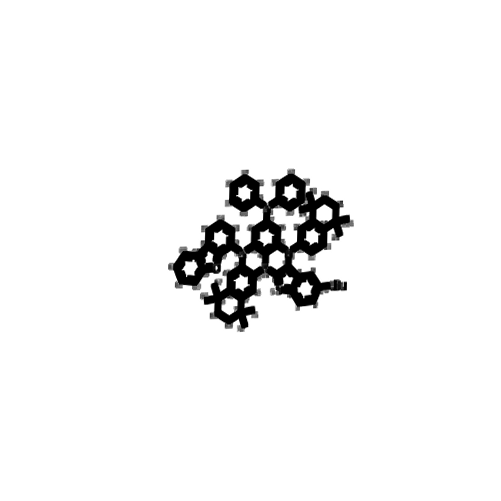 CC(C)(C)c1ccc2sc3c(c2c1)N(c1ccc2c(c1)C(C)(C)CCC2(C)C)c1cc(N(c2ccccc2)c2ccccc2)cc2c1B3c1cc3c(cc1N2c1cccc2c1oc1ccccc12)C(C)(C)CCC3(C)C